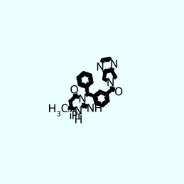 CC(C)[C@]1(C)CC(=O)N(C(c2ccccc2)c2cccc(C(=O)N3Cc4nccnc4C3)c2)C(=N)N1